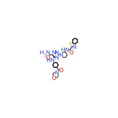 NC(=O)c1nnc(N2CCC[C@@H](NC(=O)c3nc4ccccc4s3)C2)nc1Nc1ccc(C(=O)N2CCOCC2)cc1